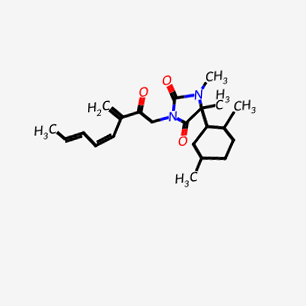 C=C(/C=C\C=C\C)C(=O)CN1C(=O)N(C)C(C)(C2CC(C)CCC2C)C1=O